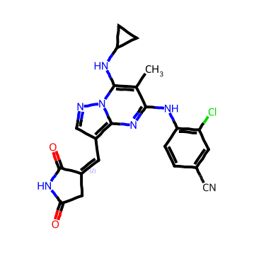 Cc1c(Nc2ccc(C#N)cc2Cl)nc2c(/C=C3/CC(=O)NC3=O)cnn2c1NC1CC1